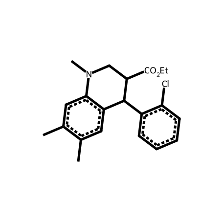 CCOC(=O)C1CN(C)c2cc(C)c(C)cc2C1c1ccccc1Cl